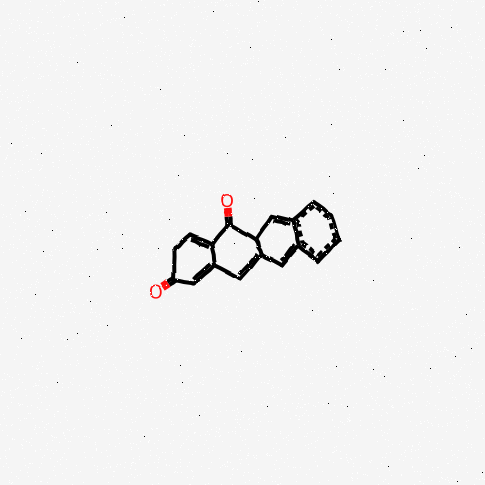 O=C1C=C2C=C3C=c4ccccc4=CC3C(=O)C2=CC1